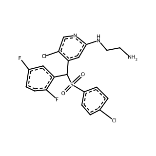 NCCNc1cc(C(c2cc(F)ccc2F)S(=O)(=O)c2ccc(Cl)cc2)c(Cl)cn1